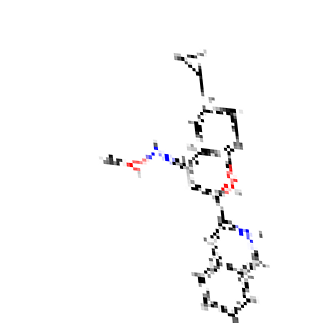 CC(C)(C)ON=c1cc(-c2cc3ccccc3cn2)oc2ccc(C3CC3)cc12